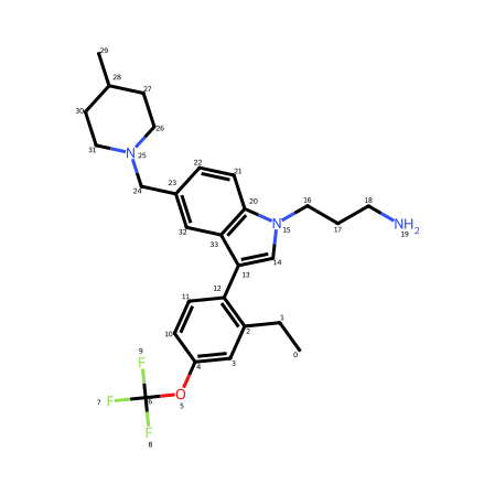 CCc1cc(OC(F)(F)F)ccc1-c1cn(CCCN)c2ccc(CN3CCC(C)CC3)cc12